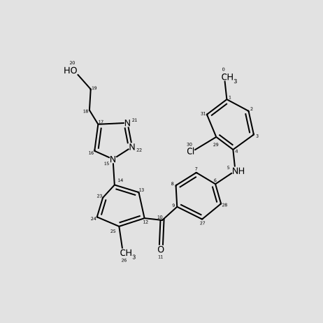 Cc1ccc(Nc2ccc(C(=O)c3cc(-n4cc(CCO)nn4)ccc3C)cc2)c(Cl)c1